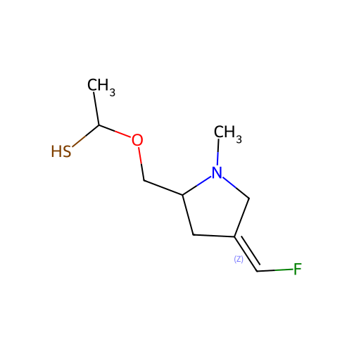 CC(S)OCC1C/C(=C/F)CN1C